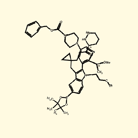 CO[C@@H](C)c1ncc(N2CCN(C(=O)OCc3ccccc3)CC2)cc1-c1c(CC2(COC(=O)[C@@H]3CCCNN3)CC2)c2cc(B3OC(C)(C)C(C)(C)O3)ccc2n1CCOC(C)C